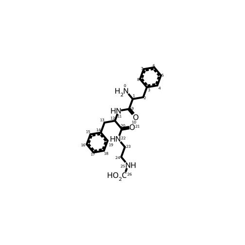 NC(Cc1ccccc1)C(=O)NC(Cc1ccccc1)C(=O)NCCNC(=O)O